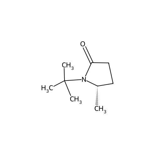 C[C@H]1CCC(=O)N1C(C)(C)C